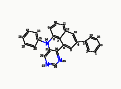 c1ccc(-c2cc3c4c(cccc4c2)N(c2ccccc2)c2cncnc2-3)cc1